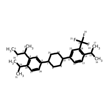 CCC(C)c1cc(C2CCC(c3ccc(C(C)C)c(C(F)(F)F)c3)CC2)ccc1C(C)C